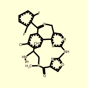 CC(C)NC(C)CN(C)C(=O)c1coc(Nc2ncc3c(n2)-c2ccc(Cl)cc2C(c2c(F)cccc2F)=NC3)n1